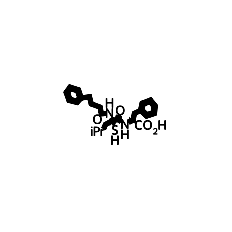 CC(C)C[C@](S)(NC(=O)CCCc1ccccc1)C(=O)N[C@@H](Cc1ccccc1)C(=O)O